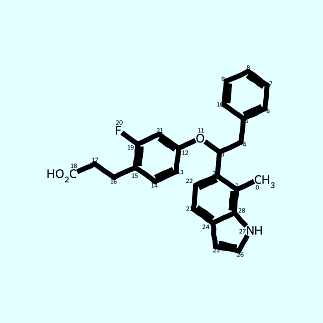 Cc1c(C(Cc2ccccc2)Oc2ccc(CCC(=O)O)c(F)c2)ccc2cc[nH]c12